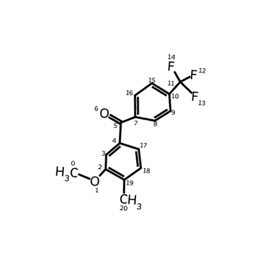 COc1cc(C(=O)c2ccc(C(F)(F)F)cc2)ccc1C